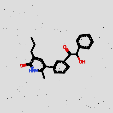 CCCc1cc(-c2cccc(C(=O)C(O)c3ccccc3)c2)c(C)[nH]c1=O